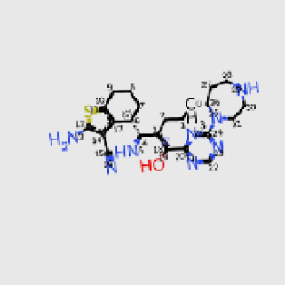 CCC/C(C(=N)[C@H]1CCCc2sc(N)c(C#N)c21)=C(/O)c1ncnc(N2CCCNCC2)n1